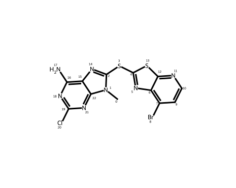 Cn1c(Sc2nc3c(Br)ccnc3s2)nc2c(N)nc(Cl)nc21